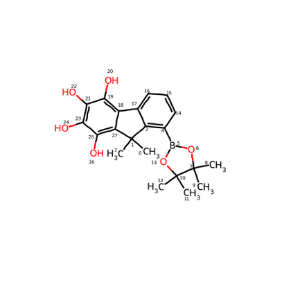 CC1(C)c2c(B3OC(C)(C)C(C)(C)O3)cccc2-c2c(O)c(O)c(O)c(O)c21